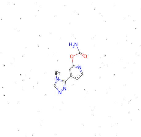 CC(C)n1cnnc1-c1ccnc(OC(N)=O)c1